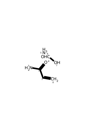 C=CC(N)=O.N.O=CO